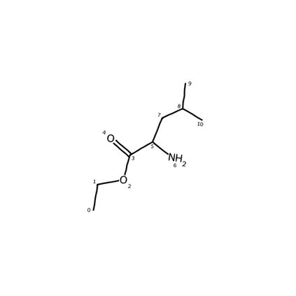 CCOC(=O)C(N)CC(C)C